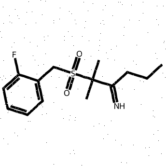 CCCC(=N)C(C)(C)S(=O)(=O)Cc1ccccc1F